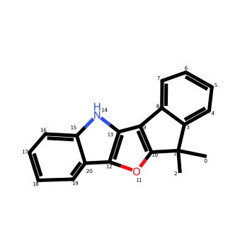 CC1(C)c2ccccc2-c2c1oc1c2[nH]c2ccccc21